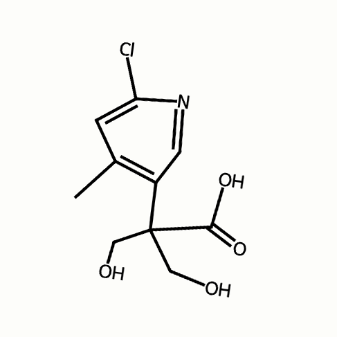 Cc1cc(Cl)ncc1C(CO)(CO)C(=O)O